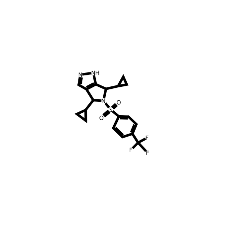 O=S(=O)(c1ccc(C(F)(F)F)cc1)N1C(C2CC2)c2cn[nH]c2C1C1CC1